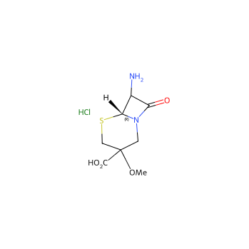 COC1(C(=O)O)CS[C@@H]2C(N)C(=O)N2C1.Cl